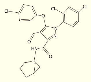 O=Cc1c(C(=O)NC2CC3CCC2C3)nn(-c2ccc(Cl)cc2Cl)c1Oc1ccc(Cl)cc1